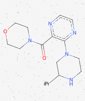 CC(C)C1CN(c2nccnc2C(=O)N2CCOCC2)CCN1